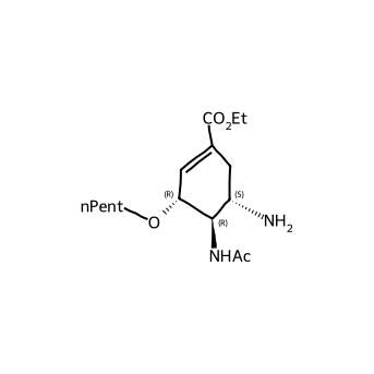 CCCCCO[C@@H]1C=C(C(=O)OCC)C[C@H](N)[C@H]1NC(C)=O